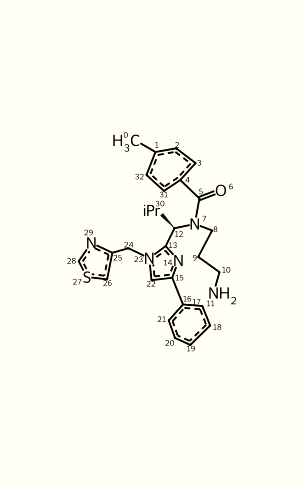 Cc1ccc(C(=O)N(CCCN)[C@@H](c2nc(-c3ccccc3)cn2Cc2cscn2)C(C)C)cc1